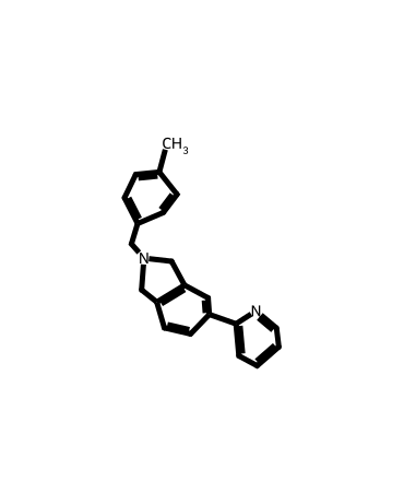 Cc1ccc(CN2Cc3ccc(-c4ccccn4)cc3C2)cc1